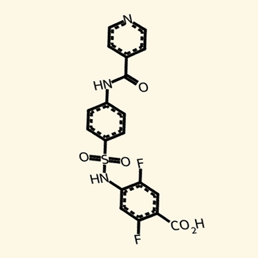 O=C(Nc1ccc(S(=O)(=O)Nc2cc(F)c(C(=O)O)cc2F)cc1)c1ccncc1